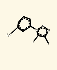 FC(F)(F)c1cccc(-n2nnc(I)c2I)c1